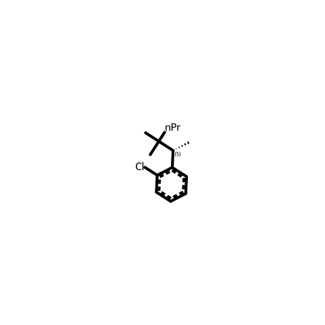 CCCC(C)(C)[C@H](C)c1ccccc1Cl